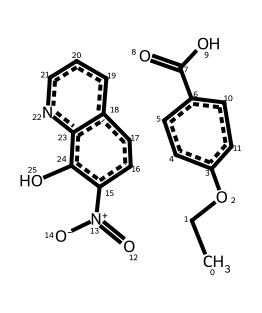 CCOc1ccc(C(=O)O)cc1.O=[N+]([O-])c1ccc2cccnc2c1O